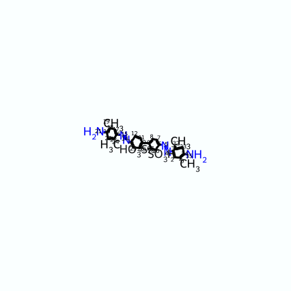 Cc1cc(N=NC2=CC=C(c3ccc(N=Nc4cc(C)c(N)cc4C)cc3)C(S(=O)(=O)O)(S(=O)(=O)O)C2)c(C)cc1N